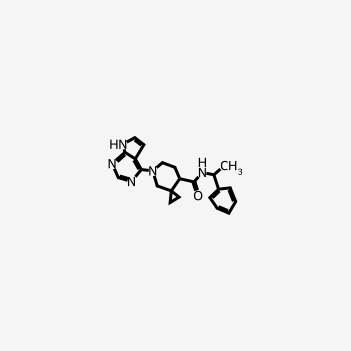 CC(NC(=O)C1CCN(c2ncnc3[nH]ccc23)CC12CC2)c1ccccc1